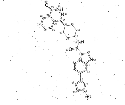 CCn1cc(-c2ccn3c(C(=O)N[C@H]4CC[C@H](c5n[nH]c(=O)c6ccccc65)CC4)cnc3c2)cn1